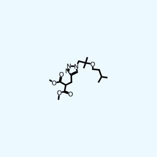 COC(=O)C(Cc1cn(CC(C)(C)OCCC(C)C)nn1)C(=O)OC